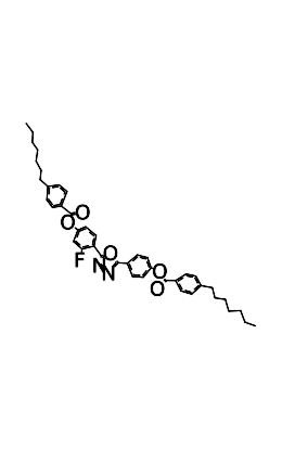 CCCCCCCc1ccc(C(=O)Oc2ccc(-c3nnc(-c4ccc(OC(=O)c5ccc(CCCCCCC)cc5)cc4F)o3)cc2)cc1